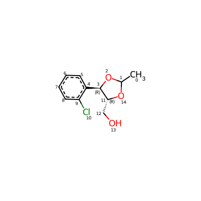 CC1O[C@H](c2ccccc2Cl)[C@@H](CO)O1